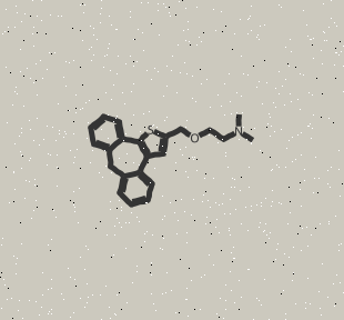 CN(C)CCOCc1cc2c(s1)-c1ccccc1Cc1ccccc1-2